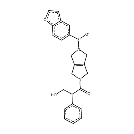 O=C(C(CO)c1ccccc1)N1CC2=C(C1)CN([S+]([O-])c1ccc3occc3c1)C2